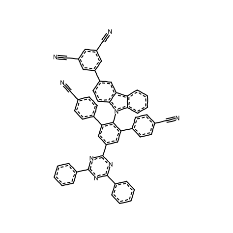 N#Cc1ccc(-c2cc(-c3nc(-c4ccccc4)nc(-c4ccccc4)n3)cc(-c3ccc(C#N)cc3)c2-n2c3ccccc3c3cc(-c4cc(C#N)cc(C#N)c4)ccc32)cc1